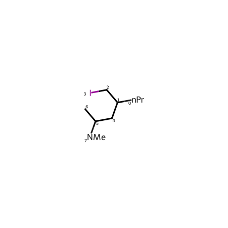 CCCC(CI)CC(C)NC